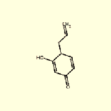 C=CCC1C=CC(=O)C=C1O